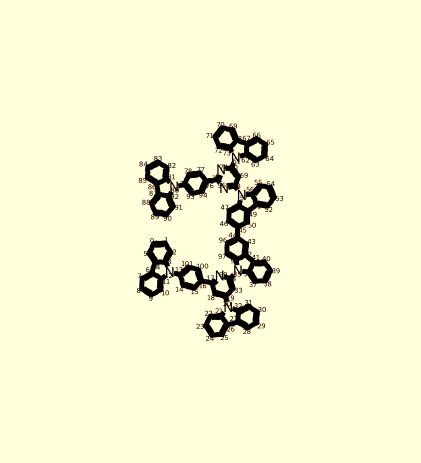 c1ccc2c(c1)c1ccccc1n2-c1ccc(-c2cc(-n3c4ccccc4c4ccccc43)cc(-n3c4ccccc4c4cc(-c5ccc6c(c5)c5ccccc5n6-c5cc(-n6c7ccccc7c7ccccc76)nc(-c6ccc(-n7c8ccccc8c8ccccc87)cc6)n5)ccc43)n2)cc1